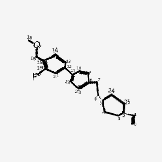 C=C[C@H]1CC[C@H](CCc2ccc(-c3ccc(COC)c(F)c3)cc2)CC1